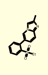 CCS(=O)(=O)c1ccccc1-c1ccc2nc(C)cn2c1